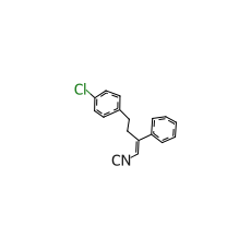 [C-]#[N+]/C=C(\CCc1ccc(Cl)cc1)c1ccccc1